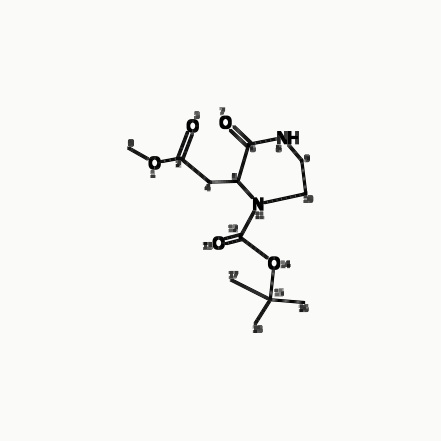 COC(=O)CC1C(=O)NCCN1C(=O)OC(C)(C)C